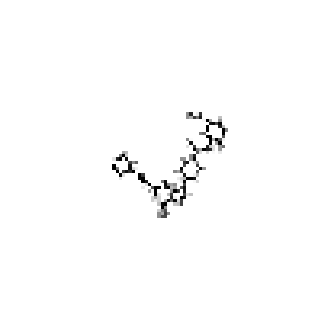 COc1cccc(NC(=O)C2CCC(n3cnc4c(N)nc(C#Cc5ccncc5)nc43)CC2)c1